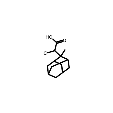 CC1(C(Cl)C(=O)O)C2CC3CC(C2)CC1C3